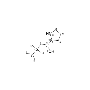 CC(C)S(C)(C)C[C@@H](O)[C@@H]1CCCN1